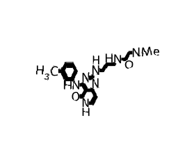 CNCC(=O)NCCCNc1nc(Nc2cccc(C)c2)c2c(=O)[nH]ccc2n1